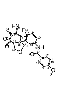 COc1cnc(C(=O)Nc2ccc(F)c([C@@]34COCC3S(=O)(=O)N(C)C(=N)N4)c2)cn1